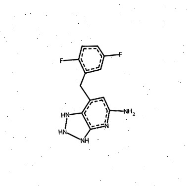 Nc1cc(Cc2cc(F)ccc2F)c2c(n1)NNN2